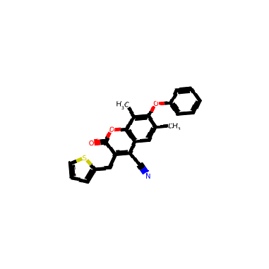 Cc1cc2c(C#N)c(Cc3cccs3)c(=O)oc2c(C)c1Oc1ccccc1